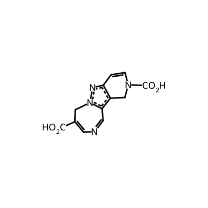 O=C(O)C1=CN=Cc2c3c(nn2C1)C=CN(C(=O)O)C3